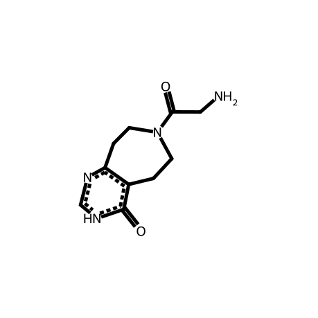 NCC(=O)N1CCc2nc[nH]c(=O)c2CC1